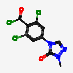 Cn1ncn(-c2cc(Cl)c(C(=O)Cl)c(Cl)c2)c1=O